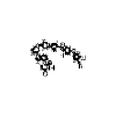 N#Cc1ccc(OC2CCC(NC(=O)c3ccc(N4CCC(CN5CCCC(n6ccc7c(N8CCC(=O)NC8=O)cccc76)C5)CC4)nn3)CC2)cc1Cl